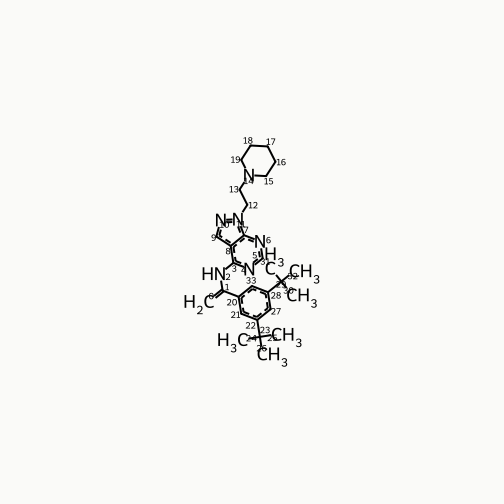 C=C(Nc1ncnc2c1cnn2CCN1CCCCC1)c1cc(C(C)(C)C)cc(C(C)(C)C)c1